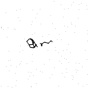 CC1(OC(=O)CCCC=O)C2CC3CC(C2)CC1C3